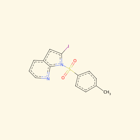 Cc1ccc(S(=O)(=O)n2c(I)cc3cccnc32)cc1